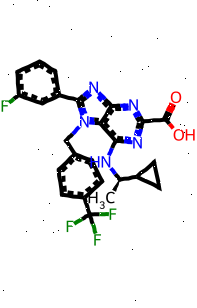 C[C@@H](Nc1nc(C(=O)O)nc2nc(-c3cccc(F)c3)n(Cc3ccc(C(F)(F)F)cc3)c12)C1CC1